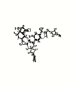 COc1cc(C)c2[nH]cc(Cl)c2c1CN1CCC2(CC(C#N)C2)C[C@H]1c1ccc(C(=O)NCC2CN(C)C2)cc1